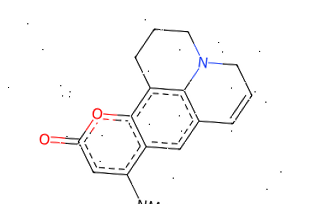 CNc1cc(=O)oc2c3c4c(cc12)C=CCN4CCC3